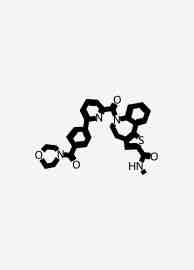 CNC(=O)c1cc2c(s1)-c1ccccc1N(C(=O)c1cccc(-c3ccc(C(=O)N4CCOCC4)cc3)n1)CC2